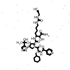 C#CCNC(=O)NCCCCC(NC(=O)[C@@H]1C[C@H](n2nncc2C(C)(C)O)CN1C(=O)[C@@H](CC1CCCCC1)NC(=O)c1ccncc1)C(O)C(N)=O